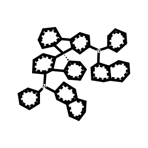 c1ccc(N(c2ccc3ccccc3c2)c2cccc3c2-c2ccccc2[C@@]32c3ccccc3-c3ccc(N(c4ccccc4)c4cccc5ccccc45)cc32)cc1